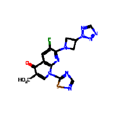 O=C(O)c1cn(-c2ncns2)c2nc(N3CC(n4ncnn4)C3)c(F)cc2c1=O